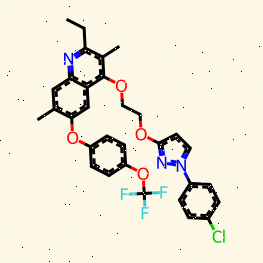 CCc1nc2cc(C)c(Oc3ccc(OC(F)(F)F)cc3)cc2c(OCCOc2ccn(-c3ccc(Cl)cc3)n2)c1C